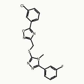 Cn1c(SCc2noc(-c3cccc(Cl)c3)n2)nnc1-c1cccc(F)c1